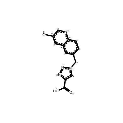 O=C(O)c1cn(Cc2ccc3ncc(Cl)cc3c2)nn1